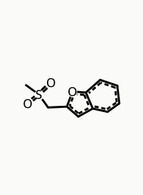 CS(=O)(=O)Cc1cc2ccccc2o1